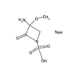 COC1(N)CN(S(=O)(=O)O)C1=O.[NaH]